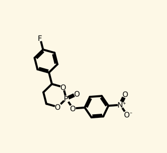 O=[N+]([O-])c1ccc(OP2(=O)OCCC(c3ccc(F)cc3)O2)cc1